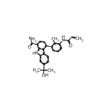 C=CC(=O)Nc1cccc(-c2ccc(C(N)=O)c3[nH]c4cc(C(C)(C)O)ccc4c23)c1C